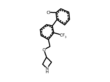 FC(F)(F)c1c(COC2CNC2)cccc1-c1ccccc1Cl